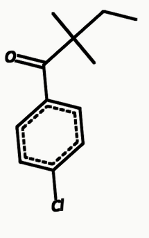 CCC(C)(C)C(=O)c1ccc(Cl)cc1